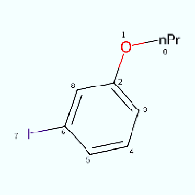 [CH2]CCOc1cccc(I)c1